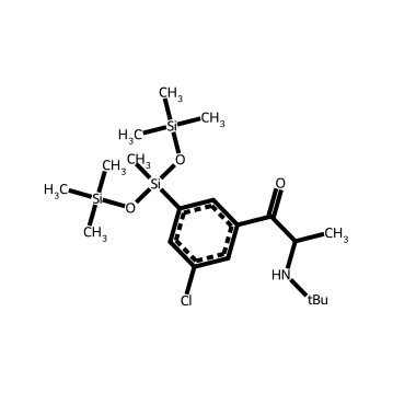 CC(NC(C)(C)C)C(=O)c1cc(Cl)cc([Si](C)(O[Si](C)(C)C)O[Si](C)(C)C)c1